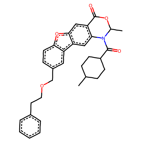 CC1CCC(C(=O)N2c3cc4c(cc3C(=O)OC2C)oc2ccc(COCCc3ccccc3)cc24)CC1